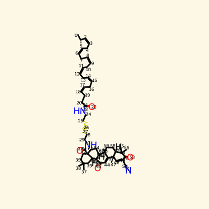 CC/C=C\C/C=C\C/C=C\C/C=C\C/C=C\C/C=C\CCC(=O)NCCSSCCNC(=O)[C@]12CCC(C)(C)C[C@H]1[C@H]1C(=O)C=C3[C@@]4(C)C=C(C#N)C(=O)C(C)(C)[C@@H]4CC[C@@]3(C)[C@]1(C)CC2